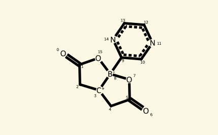 O=C1C[C+]2CC(=O)O[B-]2(c2cnccn2)O1